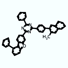 Cc1cc2ccccc2cc1-c1ccc(-c2nc(-c3ccccc3)nc(-c3ccc4c(c3)oc3cccc(-c5ccccc5)c34)n2)cc1